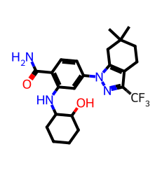 CC1(C)CCc2c(C(F)(F)F)nn(-c3ccc(C(N)=O)c(NC4CCCCC4O)c3)c2C1